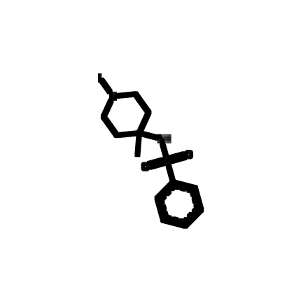 CC1(NS(=O)(=O)c2ccccc2)CCN(I)CC1